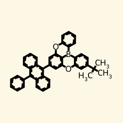 CC(C)(C)c1ccc2c(c1)Oc1cc(-c3c4ccccc4c(-c4ccccc4)c4ccccc34)cc3c1B2c1ccccc1O3